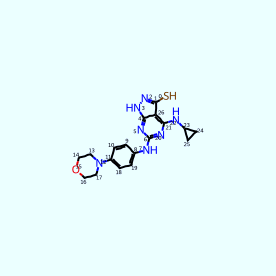 Sc1n[nH]c2nc(Nc3ccc(N4CCOCC4)cc3)nc(NC3CC3)c12